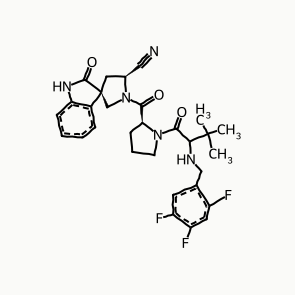 CC(C)(C)C(NCc1cc(F)c(F)cc1F)C(=O)N1CCC[C@H]1C(=O)N1C[C@]2(C[C@H]1C#N)C(=O)Nc1ccccc12